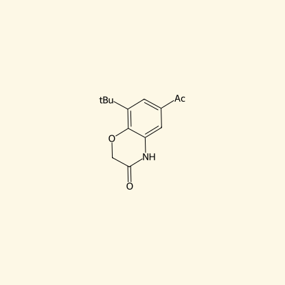 CC(=O)c1cc2c(c(C(C)(C)C)c1)OCC(=O)N2